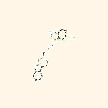 Oc1ccc2[nH]cc(CSCCN3CCc4c(sc5ccccc45)C3)c2c1